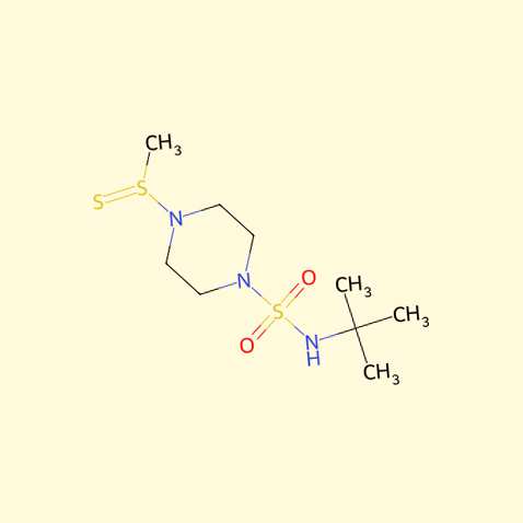 CS(=S)N1CCN(S(=O)(=O)NC(C)(C)C)CC1